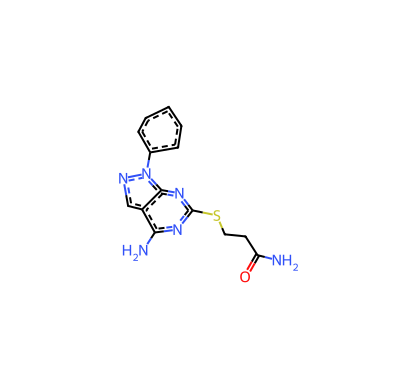 NC(=O)CCSc1nc(N)c2cnn(-c3ccccc3)c2n1